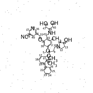 Cc1cc(OC[C@@]2(OCCCN3CCC(O)C3)C=CC=C(c3ccccc3)C2(C)C)cc(OCc2cncc(C#N)c2)c1CNC(CO)CO